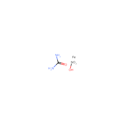 NC(N)=O.O=[N+]([O-])O.[Fe]